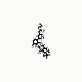 CCOC(=O)Cc1cncc(-c2ccc(C)cc2CN(Cc2ccc(C(F)(F)F)nc2)C(=O)C2CC2)c1